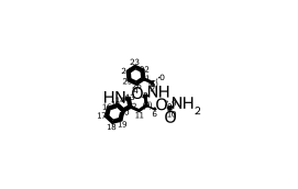 C[C@H](NC(=O)[C@@H](COC(N)=O)Cc1c[nH]c2ccccc12)c1ccccc1